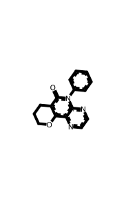 O=c1c2c(c3nccnc3n1-c1ccccc1)OCCC2